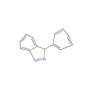 C1=NC(c2ccccc2)c2ccccc21